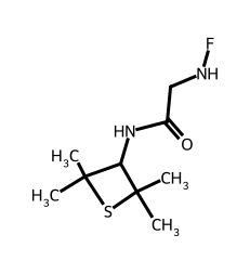 CC1(C)SC(C)(C)C1NC(=O)CNF